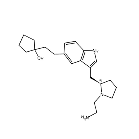 NCCN1CCC[C@@H]1Cc1c[nH]c2ccc(CCC3(O)CCCC3)cc12